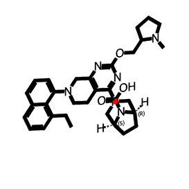 CCc1cccc2cccc(N3CCc4c(nc(OCC5CCCN5C)nc4N4C[C@H]5CC[C@@H](C4)N5C(=O)O)C3)c12